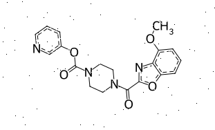 COc1cccc2oc(C(=O)N3CCN(C(=O)Oc4cccnc4)CC3)nc12